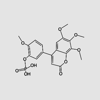 COc1ccc(-c2cc(=O)oc3c(OC)c(OC)c(OC)cc23)cc1OP(=O)(O)O